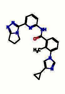 Cc1c(C(=O)Nc2cccc(-c3nnc4n3CCC4)n2)cccc1-n1cnc(C2CC2)c1